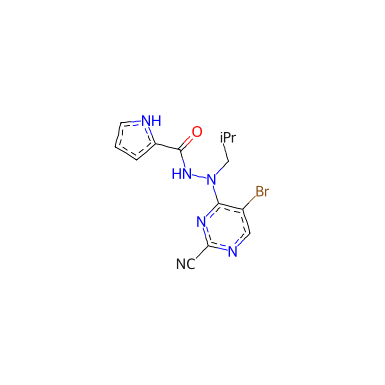 CC(C)CN(NC(=O)c1ccc[nH]1)c1nc(C#N)ncc1Br